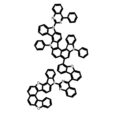 c1ccc(-c2nc(-n3c4ccccc4c4c3ccc3c5c6c(ccc5n(-c5ccccc5)c34)c(-c3cccc4c3oc3cccc(-c5nc(-n7c8ccccc8c8c9oc%10ccc%11ccc%12oc%13ccccc%13c%12c%11c%10c9ccc87)nc7ccccc57)c34)cc3c6c4ccccc4n3-c3ccccc3)nc3ccccc23)cc1